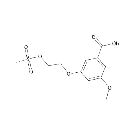 COc1cc(OCCOS(C)(=O)=O)cc(C(=O)O)c1